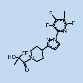 Cc1c(F)nc(-n2ccc(C3CCN(C(=O)C(C)(O)C(F)(F)F)CC3)n2)c(F)c1F